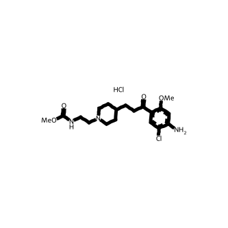 COC(=O)NCCN1CCC(CCC(=O)c2cc(Cl)c(N)cc2OC)CC1.Cl